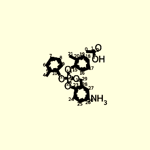 CC(=O)O.Cc1ccccc1OP(=O)(Oc1ccccc1C)Oc1ccccc1C.N